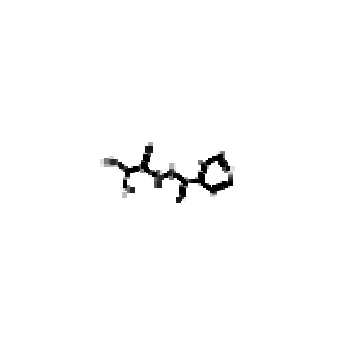 CCCCCCC(C(=O)NNC(=O)c1ccccc1)C(C)(C)C